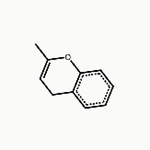 CC1=CCc2ccccc2O1